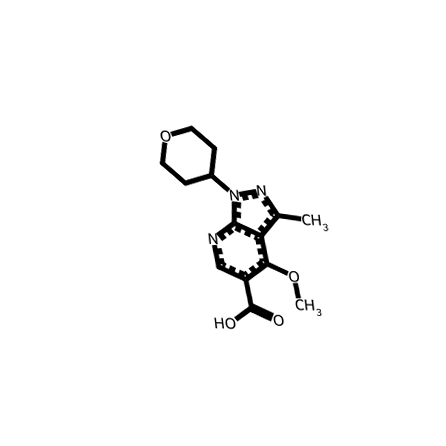 COc1c(C(=O)O)cnc2c1c(C)nn2C1CCOCC1